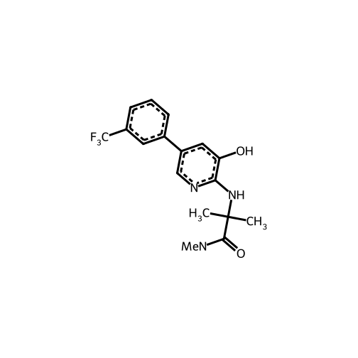 CNC(=O)C(C)(C)Nc1ncc(-c2cccc(C(F)(F)F)c2)cc1O